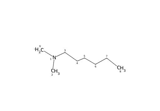 [CH2]N(C)CCCCCC